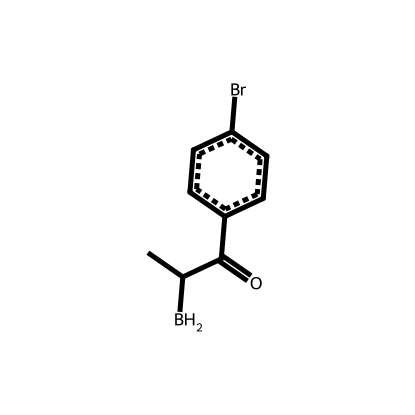 BC(C)C(=O)c1ccc(Br)cc1